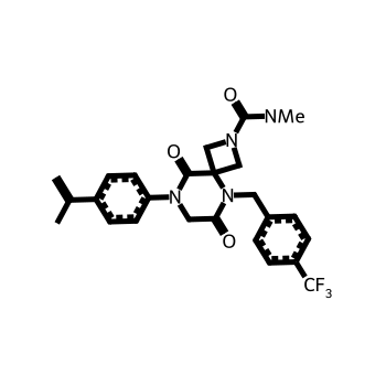 C=C(C)c1ccc(N2CC(=O)N(Cc3ccc(C(F)(F)F)cc3)C3(CN(C(=O)NC)C3)C2=O)cc1